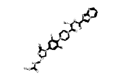 CCC(C)[C@H](NC(=O)c1cn2cccnc2n1)C(=O)N1CCN(c2c(F)cc(N3C[C@H](CNC(=O)OC)OC3=O)cc2F)CC1